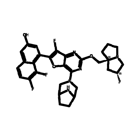 Oc1cc(-c2oc3c(N4CC5CCC(C4)N5)nc(OC[C@@]45CCCN4C[C@H](F)C5)nc3c2F)c2c(F)c(F)ccc2c1